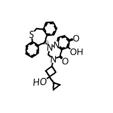 O=C1c2c(O)c(=O)ccn2N([C@H]2c3ccccc3CSc3ccccc32)CN1C1CC(O)(C2CC2)C1